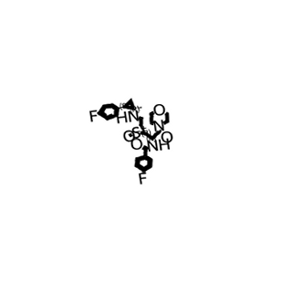 C[C@@]1(NCC2[C@@H]([C@H](NC(=O)c3ccc(F)cc3)C(=O)N3CCOCC3)[S+]2[O-])C[C@H]1c1ccc(F)cc1